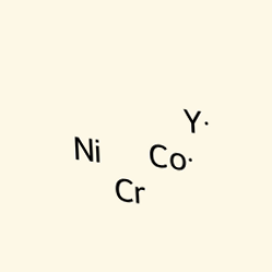 [Co].[Cr].[Ni].[Y]